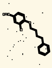 O=Cc1ccc(OCCCCc2ccccc2)c(Cl)c1